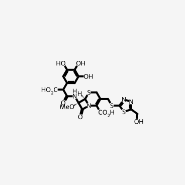 CO[C@@]1(NC(=O)C(C(=O)O)c2cc(O)c(O)c(O)c2)C(=O)N2C(C(=O)O)=C(CSc3nnc(CO)s3)CS[C@@H]21